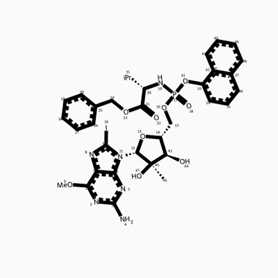 COc1nc(N)nc2c1nc(I)n2[C@@H]1O[C@H](COP(=O)(N[C@H](C(=O)OCc2ccccc2)C(C)C)Oc2cccc3ccccc23)[C@@H](O)[C@@]1(C)O